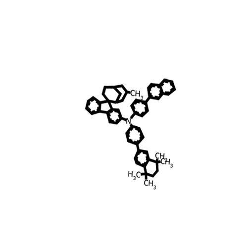 CC1CC2CCC3(c4ccccc4-c4ccc(N(c5ccc(-c6ccc7c(c6)C(C)(C)CCC7(C)C)cc5)c5ccc(-c6ccc7ccccc7c6)cc5)cc43)C(C1)C2